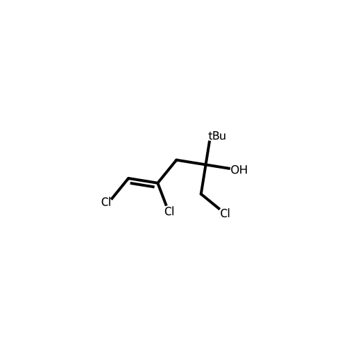 CC(C)(C)C(O)(CCl)CC(Cl)=CCl